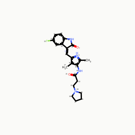 Cc1[nH]c(/C=C2\C(=O)Nc3ccc(F)cc32)c(C)c1NC(=O)CCN1CCCC1